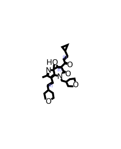 CC1=NC(C)C(N(CC2CCOCC2)C(=O)/C(C(=O)/C=C/C2CC2)=C(\C)O)=C1/C=C/C1CCOCC1